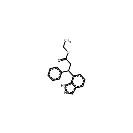 CCOC(=O)CC(c1ccccc1)c1cccc2cn[nH]c12